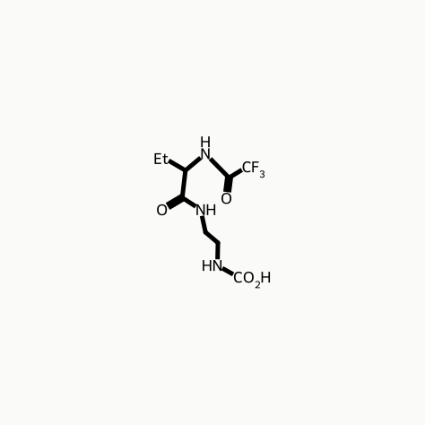 CCC(NC(=O)C(F)(F)F)C(=O)NCCNC(=O)O